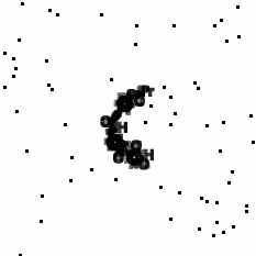 CC(C)C(=O)Oc1ccc(C#CC(=O)NCc2ccc3c(c2)CN(C2CCC(=O)NC2=O)C3=O)cc1